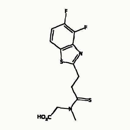 CN(CC(=O)O)C(=S)CCc1nc2c(F)c(F)ccc2s1